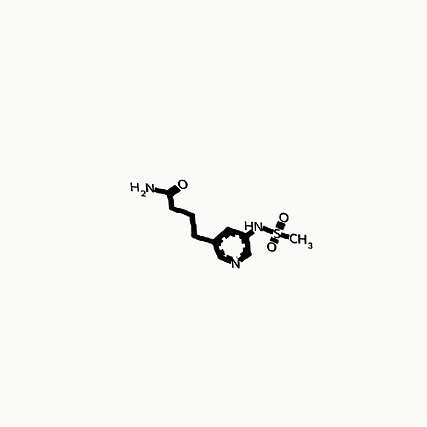 CS(=O)(=O)Nc1cncc(CCCC(N)=O)c1